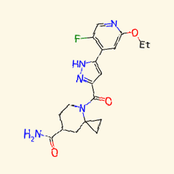 CCOc1cc(-c2cc(C(=O)N3CCC(C(N)=O)CC34CC4)n[nH]2)c(F)cn1